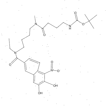 CCN(CCCCN(C)C(=O)CCCNC(=O)OC(C)(C)C)C(=O)c1ccc2c([N+](=O)[O-])c(O)c(O)cc2c1